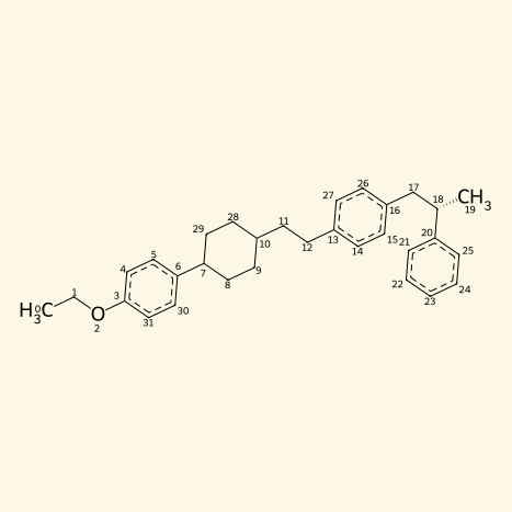 CCOc1ccc(C2CCC(CCc3ccc(C[C@H](C)c4ccccc4)cc3)CC2)cc1